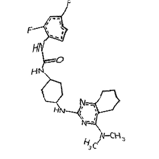 CN(C)c1nc(NC2CCC(NC(=O)Nc3ccc(F)cc3F)CC2)nc2c1CCCC2